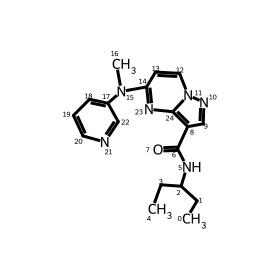 CCC(CC)NC(=O)c1cnn2ccc(N(C)c3cccnc3)nc12